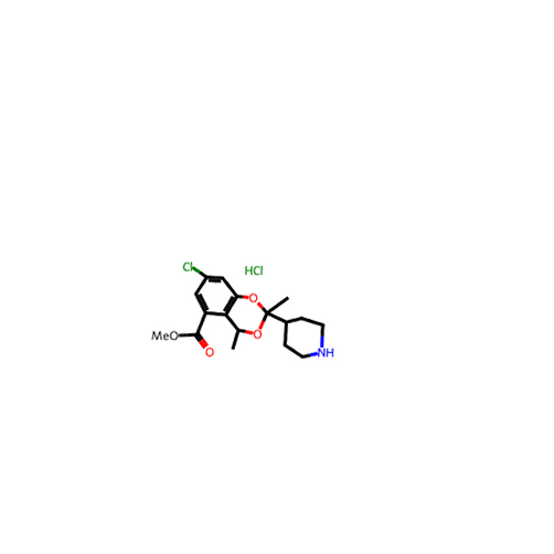 COC(=O)c1cc(Cl)cc2c1C(C)OC(C)(C1CCNCC1)O2.Cl